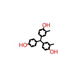 Cc1cc(C(c2ccc(O)cc2)c2ccc(O)c(C)c2)ccc1O